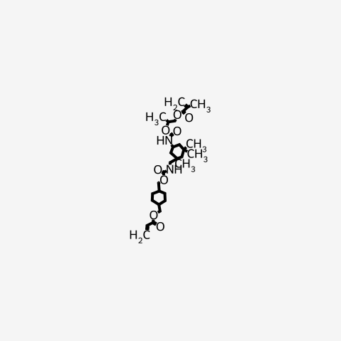 C=CC(=O)OCC1CCC(COC(=O)NCC2(C)CC(NC(=O)OC(C)COC(=O)C(=C)C)CC(C)(C)C2)CC1